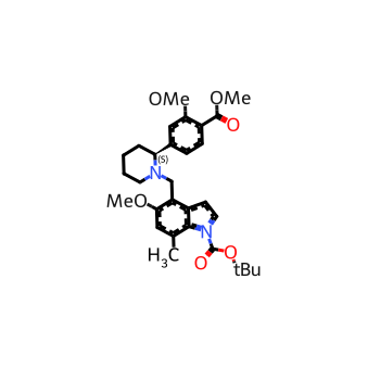 COC(=O)c1ccc([C@@H]2CCCCN2Cc2c(OC)cc(C)c3c2ccn3C(=O)OC(C)(C)C)cc1OC